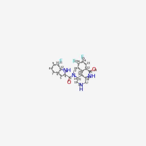 CN(C(=O)c1cc2cccc(F)c2[nH]1)[C@@H]1CNCc2[nH]c(=O)c3cc(F)c(F)cc3c21